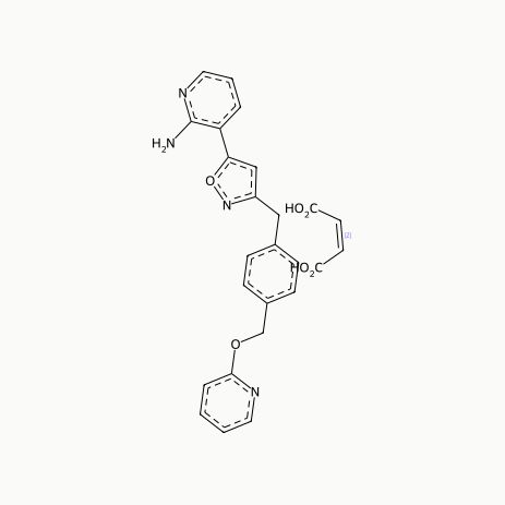 Nc1ncccc1-c1cc(Cc2ccc(COc3ccccn3)cc2)no1.O=C(O)/C=C\C(=O)O